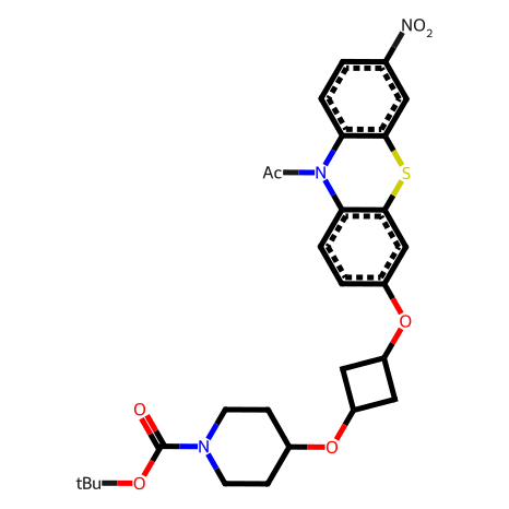 CC(=O)N1c2ccc(OC3CC(OC4CCN(C(=O)OC(C)(C)C)CC4)C3)cc2Sc2cc([N+](=O)[O-])ccc21